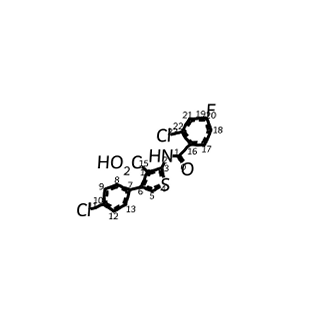 O=C(Nc1scc(-c2ccc(Cl)cc2)c1C(=O)O)c1ccc(F)cc1Cl